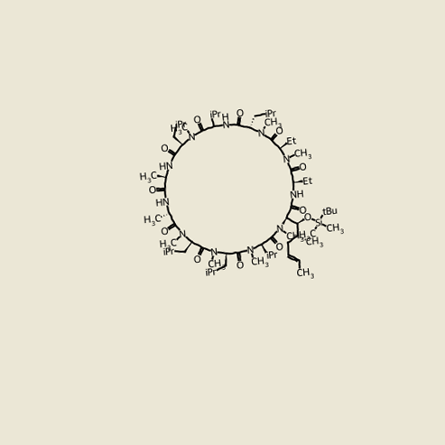 C/C=C/C[C@@H](C)[C@H](O[Si](C)(C)C(C)(C)C)[C@@H]1C(=O)N[C@H](CC)C(=O)N(C)[C@H](CC)C(=O)N(C)[C@@H](CC(C)C)C(=O)NC(C(C)C)C(=O)N(C)[C@H](CC(C)C)C(=O)N[C@H](C)C(=O)N[C@@H](C)C(=O)N(C)[C@H](CC(C)C)C(=O)N(C)[C@H](CC(C)C)C(=O)N(C)[C@H](C(C)C)C(=O)N1C